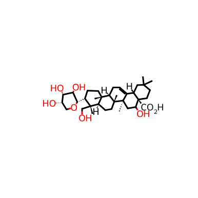 CC1(C)CC[C@]2(C(=O)O)C(O)C[C@]3(C)C(=CC[C@@H]4[C@@]5(C)CCC([C@@H]6OC[C@H](O)[C@H](O)[C@H]6O)[C@@](C)(CO)[C@@H]5CC[C@]43C)[C@@H]2C1